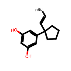 CCCC/C=C/C1(c2cc(O)cc(O)c2)CCCC1